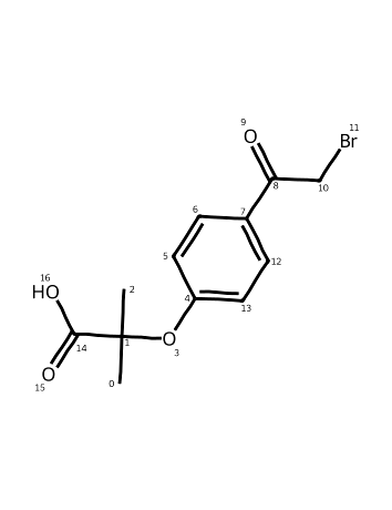 CC(C)(Oc1ccc(C(=O)CBr)cc1)C(=O)O